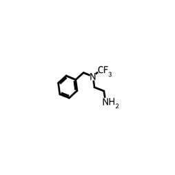 NCCN(Cc1ccccc1)C(F)(F)F